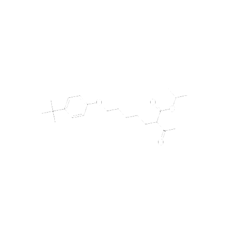 CC(=O)C(CCCCCOc1ccc(C(C)(C)C)cc1)C(=O)OC(C)C